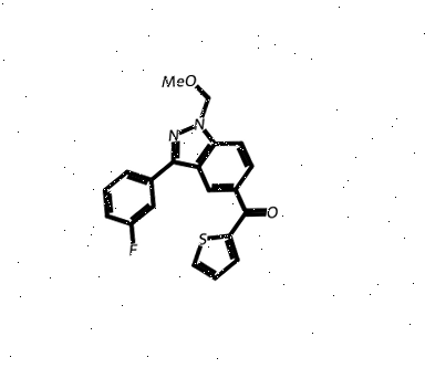 COCn1nc(-c2cccc(F)c2)c2cc(C(=O)c3cccs3)ccc21